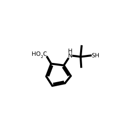 CC(C)(S)Nc1ccccc1C(=O)O